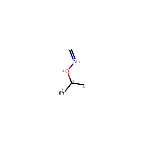 [CH]=NOC(C)C(C)C